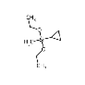 CCO[Si](C)(OCC)C1CC1